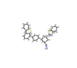 N#Cc1cc(-c2ccc(-c3cccc4c3sc3ccccc34)cc2)cc(-c2nc3ccccc3s2)c1